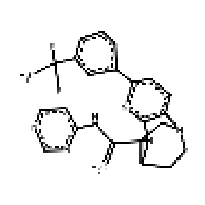 C=C(Nc1ccncn1)N1c2nc(-c3cccc(C(C)(F)F)c3)ccc2N2CCC1CC2